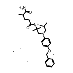 CC(C)CN(CC(C)(C)NC(=O)[CH]CC(C)C(N)=O)c1ccc(OCc2ccccc2)cc1